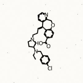 CCN(Cc1ccc(Cl)cc1)C1CCN(CC/C=C2\c3cc(C(=O)O)ccc3OCc3ncccc32)C1